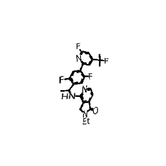 CCN1Cc2c(ccnc2NC(C)c2cc(F)c(-c3cc(C(C)(C)F)cc(F)n3)cc2F)C1=O